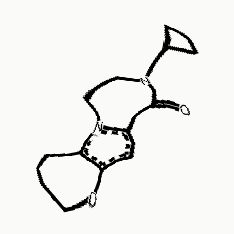 O=C1c2cc3c(n2CCN1C1CC1)CCCO3